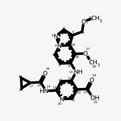 COCc1cnn2ccc(Nc3cc(NC(=O)C4CC4)ncc3C(=O)O)c(OC)c12